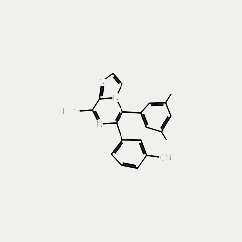 N#Cc1cccc(-c2nc(N)c3nccn3c2-c2cc(Cl)cc(Cl)c2)c1